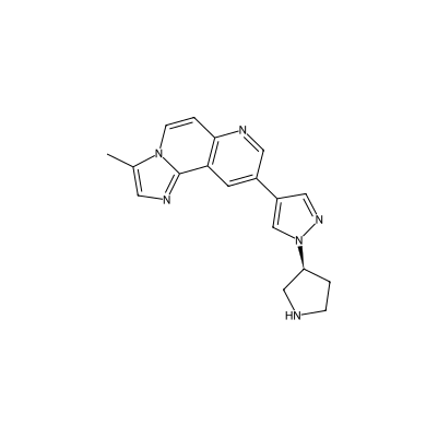 Cc1cnc2c3cc(-c4cnn([C@H]5CCNC5)c4)cnc3ccn12